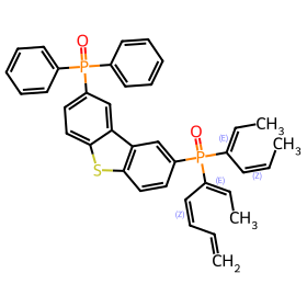 C=C/C=C\C(=C/C)P(=O)(C(/C=C\C)=C/C)c1ccc2sc3ccc(P(=O)(c4ccccc4)c4ccccc4)cc3c2c1